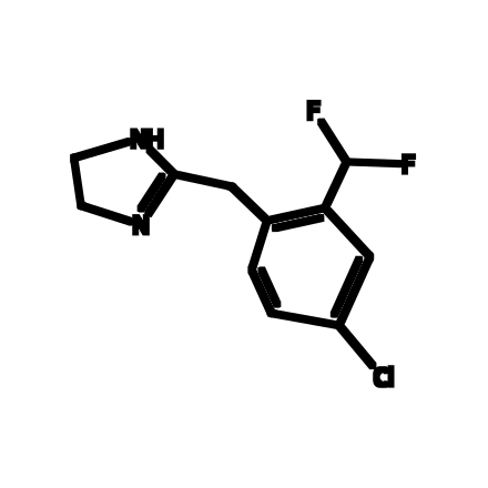 FC(F)c1cc(Cl)ccc1CC1=NCCN1